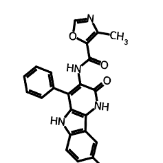 Cc1ncoc1C(=O)Nc1c(-c2ccccc2)c2[nH]c3ccc(Cl)cc3c2[nH]c1=O